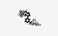 CC(C)(C)[SiH2]OC(C)(C)c1cccc(-c2ccc3cnc(S(C)(=O)=O)nn23)c1